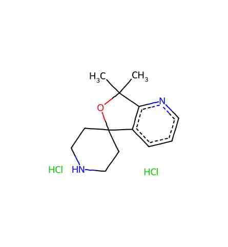 CC1(C)OC2(CCNCC2)c2cccnc21.Cl.Cl